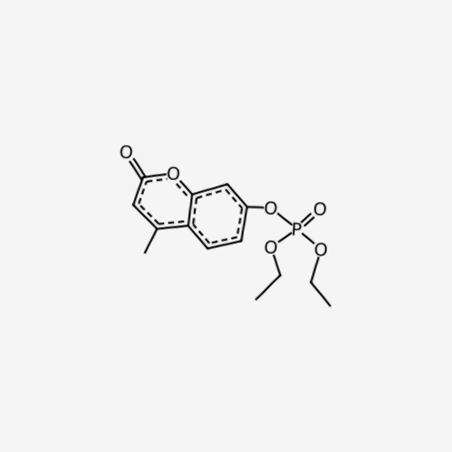 CCOP(=O)(OCC)Oc1ccc2c(C)cc(=O)oc2c1